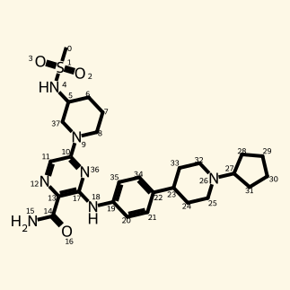 CS(=O)(=O)NC1CCCN(c2cnc(C(N)=O)c(Nc3ccc(C4CCN(C5CCCC5)CC4)cc3)n2)C1